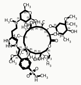 CC[C@H]1OC(=O)[C@H](C)[C@@H](O[C@H]2C[C@@](C)(OC)[C@@H](O)[C@H](C)O2)[C@H](C)[C@@H](O[C@@H]2O[C@H](C)C[C@H](N(C)CCC3=CN([C@H](CF)[C@H](OC)c4ccc(S(=O)(=O)NC)cc4)NN3)[C@H]2O)[C@](C)(O)C[C@@H](C)CN(C)[C@H](C)[C@@H](O)[C@]1(C)O